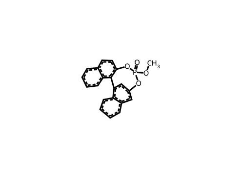 COP1(=O)Oc2cc(c3ccccc3c2)-c2c(ccc3ccccc23)O1